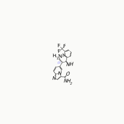 N=C(/C(=C\N)c1ccc2ncc(C(N)=O)n2c1)c1cccc(C(F)(F)F)n1